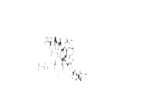 CCNC(=O)NC(C(=O)N[C@H]1C(=O)N2C(C(=O)O)=C(CSc3ccc[n+]([O-])n3)CSC12)c1cccs1